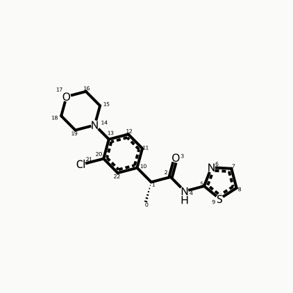 C[C@@H](C(=O)Nc1nccs1)c1ccc(N2CCOCC2)c(Cl)c1